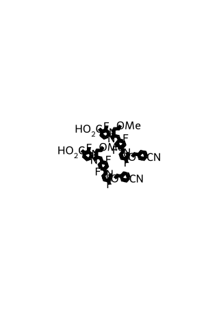 COCCn1c(Cc2cc(F)c(-c3ccc(F)c(OCc4ccc(C#N)cc4)n3)cc2F)nc2ccc(C(=O)O)c(F)c21.COCCn1c(Cc2cc(F)c(-c3ccc(F)c(OCc4ccc(C#N)cc4)n3)cc2F)nc2ccc(C(=O)O)c(F)c21